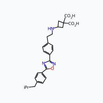 CC(C)Cc1ccc(-c2nc(-c3ccc(CCNC4CC(C(=O)O)(C(=O)O)C4)cc3)no2)cc1